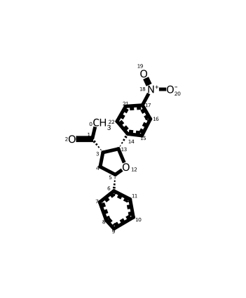 CC(=O)[C@H]1C[C@@H](c2ccccc2)O[C@H]1c1ccc([N+](=O)[O-])cc1